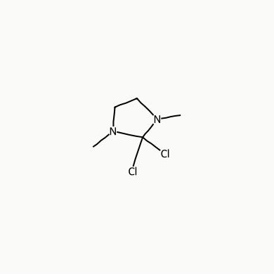 CN1CCN(C)C1(Cl)Cl